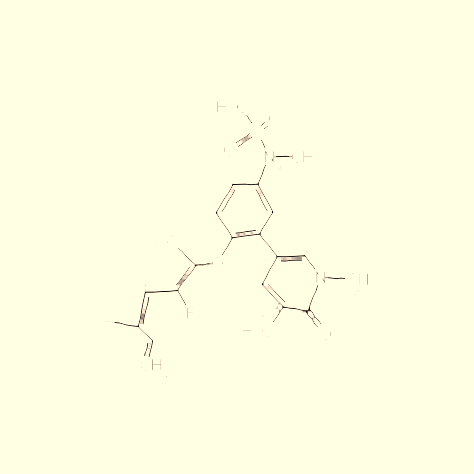 C=C/C(F)=C\C(F)=C(/C)Oc1ccc(N(C)S(C)(=O)=O)cc1-c1cc(C)c(=O)n(C)c1